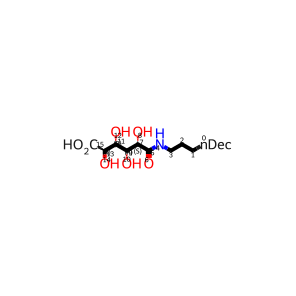 CCCCCCCCCCCCCNC(=O)[C@@H](O)[C@H](O)[C@@H](O)[C@@H](O)C(=O)O